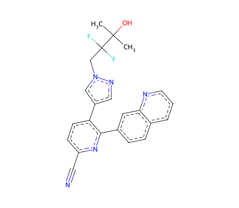 CC(C)(O)C(F)(F)Cn1cc(-c2ccc(C#N)nc2-c2ccc3cccnc3c2)cn1